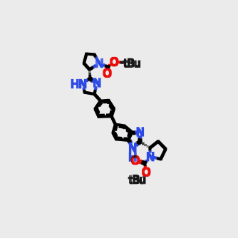 CC(C)(C)OC(=O)N1CCC[C@H]1C1=NC(c2ccc(-c3ccc4[nH]c([C@@H]5CCCN5C(=O)OC(C)(C)C)nc4c3)cc2)CN1